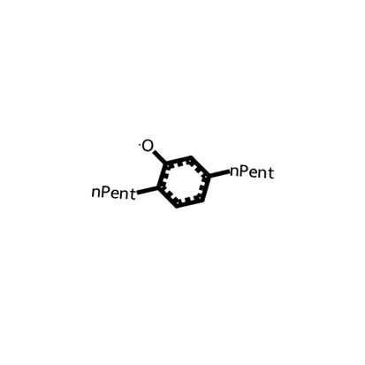 CCCCCc1ccc(CCCCC)c([O])c1